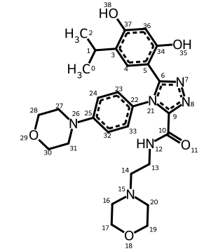 CC(C)c1cc(-c2nnc(C(=O)NCCN3CCOCC3)n2-c2ccc(N3CCOCC3)cc2)c(O)cc1O